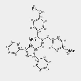 CCCCn1c(-c2ccccc2)nc(-c2ccccc2)c1CN(Cc1ccc(OC)cc1)Cc1ccc(OCC)cc1